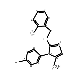 O=C(O)c1cnc(SCc2ccccc2C(F)(F)F)n1-c1ccc(F)cc1